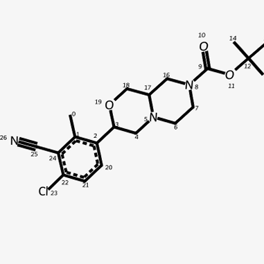 Cc1c(C2CN3CCN(C(=O)OC(C)(C)C)CC3CO2)ccc(Cl)c1C#N